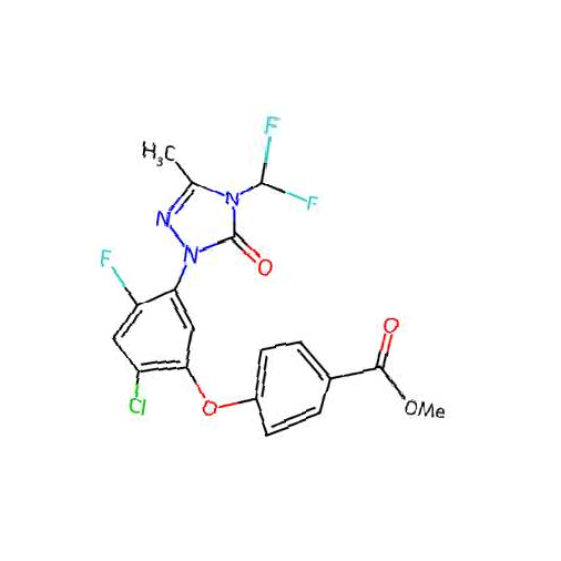 COC(=O)c1ccc(Oc2cc(-n3nc(C)n(C(F)F)c3=O)c(F)cc2Cl)cc1